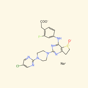 O=C([O-])Cc1ccc(Nc2nc(N3CCN(c4ncc(Cl)cn4)CC3)nc3c2[S+]([O-])CC3)cc1F.[Na+]